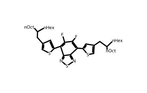 CCCCCCCCC(CCCCCC)Cc1csc(-c2c(F)c(F)c(-c3cc(CC(CCCCCC)CCCCCCCC)cs3)c3nsnc23)c1